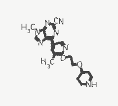 Cc1cc(-c2nc(C#N)nc3c2ncn3C)cnc1OCCOC1CCNCC1